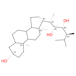 CC(C)[C@H](C)[C@@H](O)[C@H](O)[C@@H](C)[C@H]1CCC2C3CCC4C[C@@H](O)CC[C@]4(C)C3CC[C@@]21C